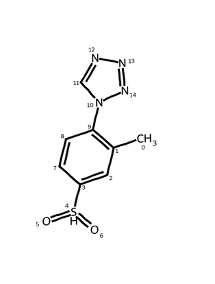 Cc1cc([SH](=O)=O)ccc1-n1cnnn1